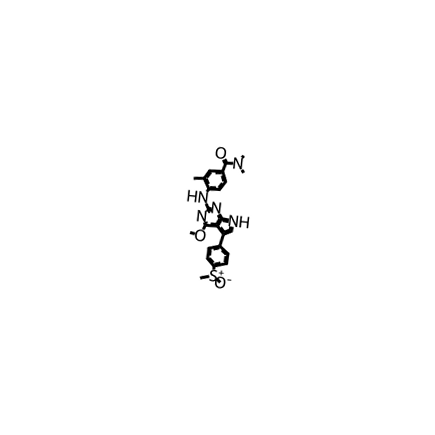 COc1nc(Nc2ccc(C(=O)N(C)C)cc2C)nc2[nH]cc(-c3ccc([S+](C)[O-])cc3)c12